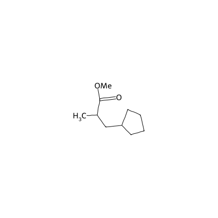 COC(=O)C(C)CC1CCCC1